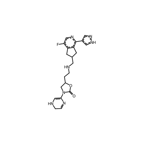 O=C1OC(CCNCC2Cc3c(F)cnc(-c4cn[nH]c4)c3C2)CN1C1=CNCC=N1